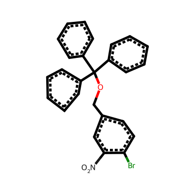 O=[N+]([O-])c1cc(COC(c2ccccc2)(c2ccccc2)c2ccccc2)ccc1Br